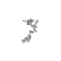 CC(C)n1cnc2cc(-c3ccc4c(c3)N(C3CC(N5CCCCC5)C3)C(=O)C43CCN(C(=O)[C@@H]4CCN(C(=O)C5CCC(Nc6cccc7c6C(=O)N([C@@H]6CCC(=O)NC6=O)C7=O)CC5)C4)CC3)nc(Nc3ccccc3F)c21